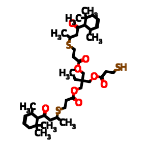 CCC(COC(=O)CCS)(COC(=O)CCSC(C)CC(=O)C1C(C)C=CCC1(C)C)COC(=O)CCSC(C)CC(=O)C1C(C)C=CCC1(C)C